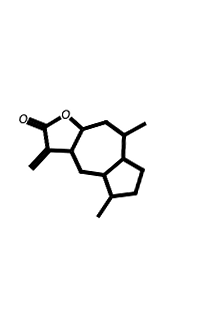 C=C1C(=O)OC2CC(C)C3CCC(C)C3CC12